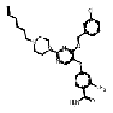 C=CCCCCN1CCN(c2ncc(Sc3ccc(C(N)=O)c(C(F)(F)F)c3)c(OCc3cccc(Cl)c3)n2)CC1